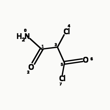 NC(=O)C(Cl)C(=O)Cl